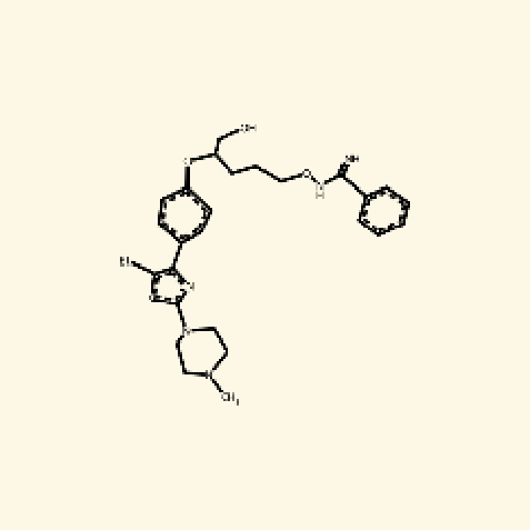 CCc1sc(N2CCN(C)CC2)nc1-c1ccc(OC(CO)CCCONC(=N)c2ccccc2)cc1